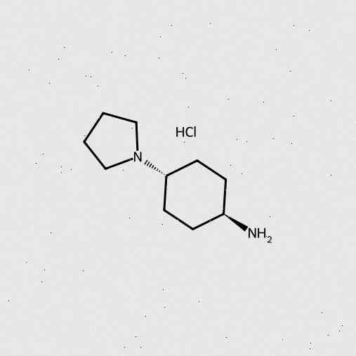 Cl.N[C@H]1CC[C@H](N2CCCC2)CC1